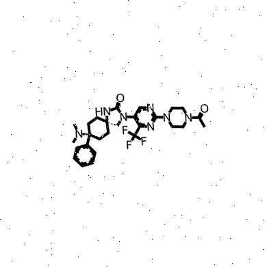 CC(=O)N1CCN(c2ncc(N3C[C@]4(CC[C@](c5ccccc5)(N(C)C)CC4)NC3=O)c(C(F)(F)F)n2)CC1